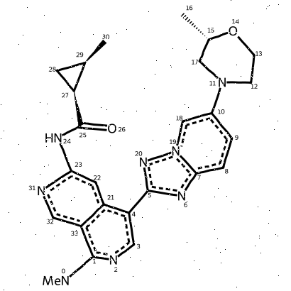 CNc1ncc(-c2nc3ccc(N4CCO[C@@H](C)C4)cn3n2)c2cc(NC(=O)[C@H]3C[C@H]3C)ncc12